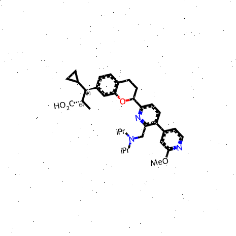 COc1cc(-c2ccc(C3CCc4ccc([C@H](C5CC5)[C@H](C)C(=O)O)cc4O3)nc2CN(C(C)C)C(C)C)ccn1